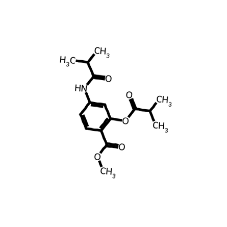 COC(=O)c1ccc(NC(=O)C(C)C)cc1OC(=O)C(C)C